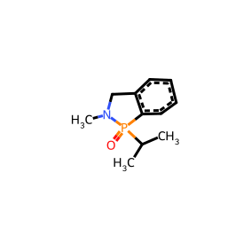 CC(C)P1(=O)c2ccccc2CN1C